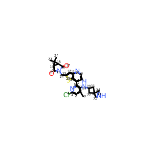 Cc1cc(Cl)nc(-c2ccnc3cc(CN4C(=O)C5C(C4=O)C5(C)C)sc23)c1NC1CC2(CNC2)C1